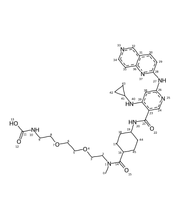 CN(CCOCCOCCNC(=O)O)C(=O)C1CCC(NC(=O)c2cnc(Nc3ccc4cnccc4n3)cc2NC2CC2)CC1